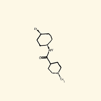 CC[C@H]1CC[C@@H](NC(=O)C2CCN(C)CC2)CC1